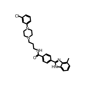 Cc1cccc2[nH]c(-c3ccc(C(=O)NCCCN4CCN(c5cccc(Cl)c5)CC4)cc3)nc12